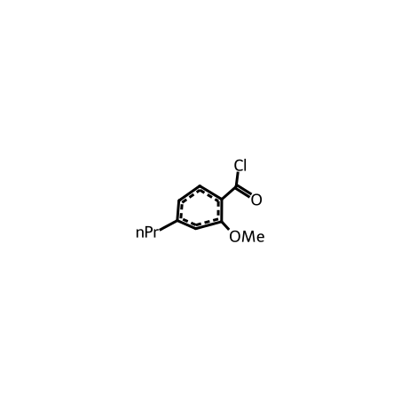 CCCc1ccc(C(=O)Cl)c(OC)c1